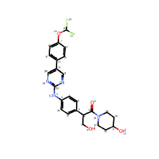 O=C(C(CO)c1ccc(Nc2ncc(-c3ccc(OC(F)F)cc3)cn2)cc1)N1CCC(O)CC1